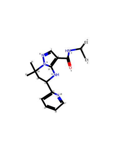 CCC(CC)NC(=O)c1cnn2c1NC(c1ccccn1)CC2(C)C